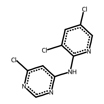 Clc1cnc(Nc2cc(Cl)ncn2)c(Cl)c1